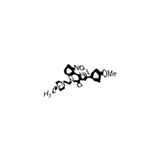 COc1ccc(-c2cc(C(=O)NCCN3CCN(C)CC3)c(-c3ccccc3[N+](=O)[O-])[nH]2)cc1